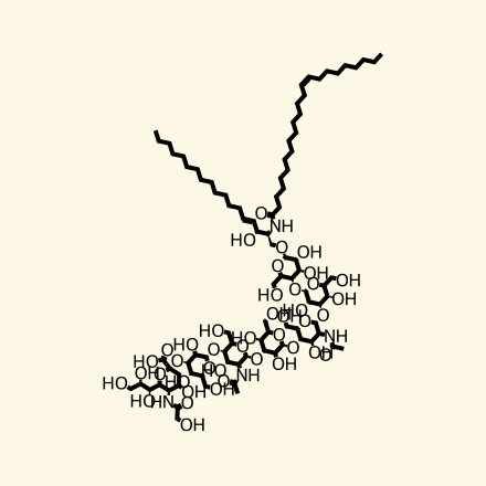 CCCCCCCC/C=C\CCCCCCCCCCCCCC(=O)N[C@@H](CO[C@@H]1OC(CO)[C@@H](O[C@@H]2OC(CO)[C@H](O)[C@H](O[C@@H]3OC(CO)[C@@H](O[C@@H]4OC(CO)[C@H](O)[C@H](O[C@@H]5OC(CO)[C@@H](O[C@@H]6OC(CO)[C@H](O)[C@H](O[C@]7(C(=O)O)CC(O)[C@@H](NC(=O)CO)C([C@H](O)[C@H](O)CO)O7)C6O)[C@H](O)C5NC(C)=O)C4O)[C@H](O)C3NC(C)=O)C2O)[C@H](O)C1O)[C@H](O)/C=C/CCCCCCCCCCCCC